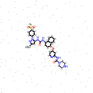 CCCCc1cc(NC(=O)Nc2ccc(Oc3ccnc(NC(=O)N4CCNCC4)c3)c3ccccc23)n(-c2ccc(S(C)(=O)=O)cc2)n1